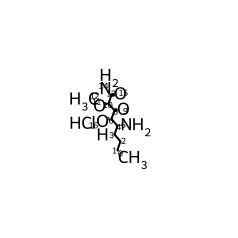 CCCC[C@@H](N)[C@H](O)C(=O)C(OC)C(N)=O.Cl